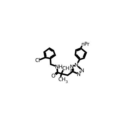 CCCc1ccc(-n2nnc(CC(C)(C)C(=O)NCc3ccccc3Cl)n2)cc1